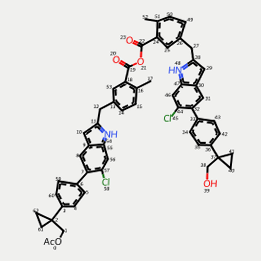 CC(=O)OCC1(c2ccc(-c3cc4cc(Cc5ccc(C)c(C(=O)OC(=O)c6cc(Cc7cc8cc(-c9ccc(C%10(CO)CC%10)cc9)c(Cl)cc8[nH]7)ccc6C)c5)[nH]c4cc3Cl)cc2)CC1